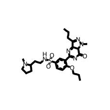 CCCOc1ccc(S(=O)(=O)NCCC2CCCN2C)cc1C1=NC(=O)C2C(=N1)C(CCC)=NN2C